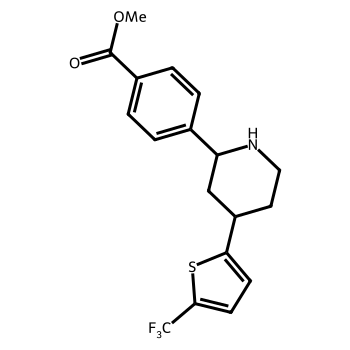 COC(=O)c1ccc(C2CC(c3ccc(C(F)(F)F)s3)CCN2)cc1